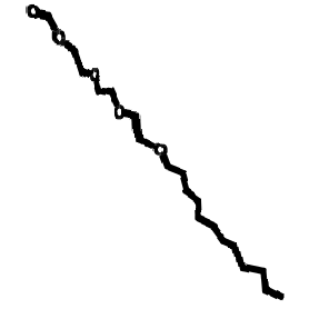 CCCCCCCCCCCCOCCOCCOCCOC=O